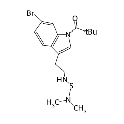 CN(C)SNCCc1cn(C(=O)C(C)(C)C)c2cc(Br)ccc12